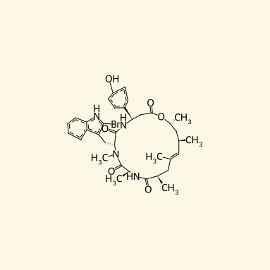 C/C1=C\[C@H](C)C[C@@H](C)OC(=O)C[C@H](c2ccc(O)cc2)NC(=O)[C@@H](Cc2c(Br)[nH]c3ccccc23)N(C)C(=O)[C@H](C)NC(=O)[C@H](C)C1